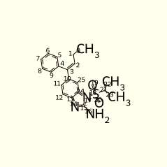 CCC=C(c1ccccc1)c1ccc2nc(N)n(S(=O)(=O)C(C)C)c2c1